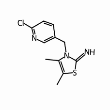 Cc1sc(=N)n(Cc2ccc(Cl)nc2)c1C